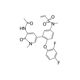 C=CS(=O)(=O)N(C)c1ccc(Oc2ccc(F)cc2F)c(-c2cc(NC(C)=O)c(=O)n(C)c2)c1